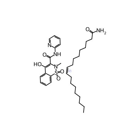 CCCCCCCC/C=C\CCCCCCCC(N)=O.CN1C(C(=O)Nc2ccccn2)=C(O)c2ccccc2S1(=O)=O